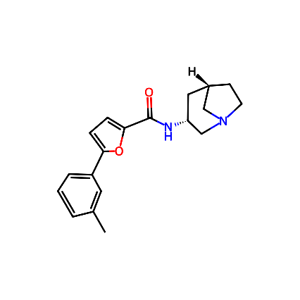 Cc1cccc(-c2ccc(C(=O)N[C@@H]3C[C@@H]4CCN(C4)C3)o2)c1